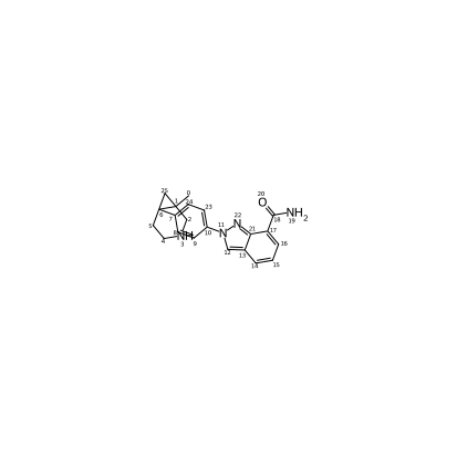 CC12CNCCC1(c1ccc(-n3cc4cccc(C(N)=O)c4n3)cc1)C2